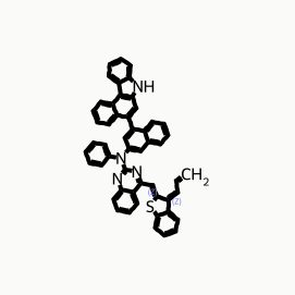 C=C/C=c1\c(=C\c2nc(N(c3ccccc3)c3cc(-c4cc5[nH]c6ccccc6c5c5ccccc45)c4ccccc4c3)nc3ccccc23)sc2ccccc12